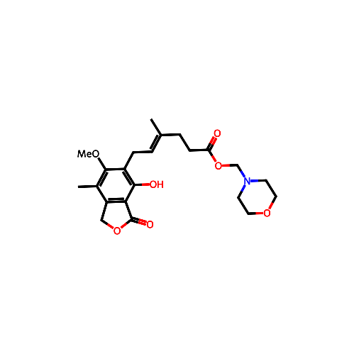 COc1c(C)c2c(c(O)c1C/C=C(\C)CCC(=O)OCN1CCOCC1)C(=O)OC2